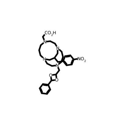 O=C(O)CN1CCCN2CCN(CC3OC(c4ccccc4)O3)CCCN(CC1)CC(Cc1ccc([N+](=O)[O-])cc1)C2